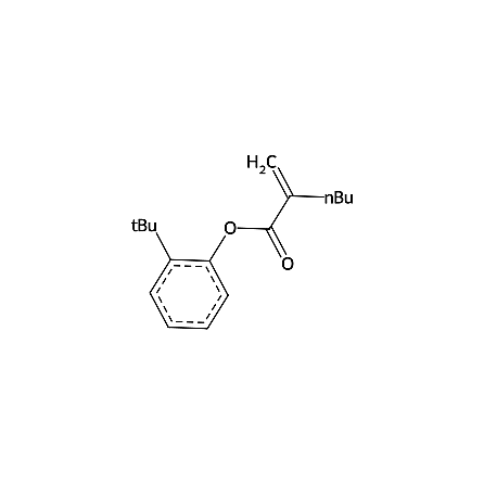 C=C(CCCC)C(=O)Oc1ccccc1C(C)(C)C